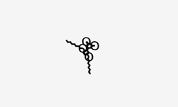 CCCCCCCCOc1ccc(OCCCCCCCC)c(C2CC(=O)CC(=O)C2)c1